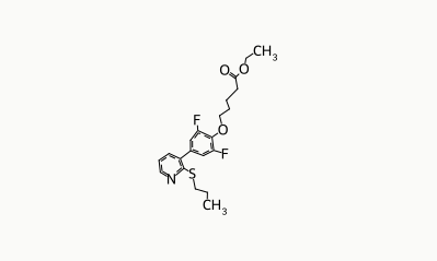 CCCSc1ncccc1-c1cc(F)c(OCCCCC(=O)OCC)c(F)c1